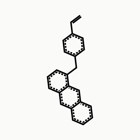 C=Cc1ccc(Cc2cccc3cc4ccccc4cc23)cc1